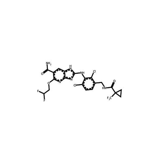 NC(=O)c1cc2[nH]c(Nc3c(Cl)ccc(CNC(=O)C4(C(F)(F)F)CC4)c3Cl)nc2nc1OCC(F)F